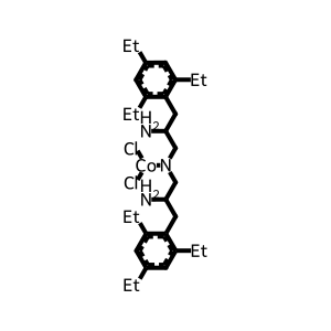 CCc1cc(CC)c(CC(N)C[N](CC(N)Cc2c(CC)cc(CC)cc2CC)[Co]([Cl])[Cl])c(CC)c1